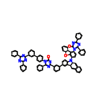 O=c1nc(-c2cccc(-c3ccc4c(c3)C3C=c5ccccc5=CC3N4c3ccc(-n4c(-c5ccccc5)nc(-c5ccccc5)nc4=O)c4c3OC3C=CC=CC43)c2)nc(-c2ccccc2)n1-c1ccc(-c2cccc(-c3nc(-c4ccccc4)nc(-c4ccccc4)n3)c2)cc1